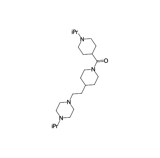 CC(C)N1CCC(C(=O)N2CCC(CCN3CCN(C(C)C)CC3)CC2)CC1